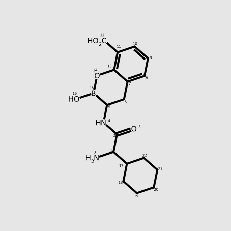 NC(C(=O)NC1Cc2cccc(C(=O)O)c2OB1O)C1CCCCC1